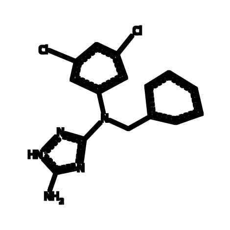 Nc1nc(N(Cc2ccccc2)c2cc(Cl)cc(Cl)c2)n[nH]1